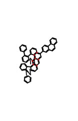 c1ccc(-c2ccccc2-c2c(-c3ccccc3)cccc2N(c2ccc(-c3ccc4c(ccc5ccccc54)c3)cc2)c2cccc3c2c2ccccc2n3-c2ccccc2)cc1